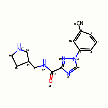 N#Cc1cccc(-n2cnc(C(=O)NCC3CCNC3)n2)c1